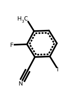 Cc1ccc(I)c(C#N)c1F